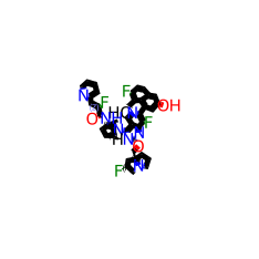 C#Cc1c(F)ccc2cc(O)cc(-c3ncc4c(N5C[C@@]6(NC(=O)/C(F)=C/c7ccccn7)CC[C@@H]5C6)nc(OC[C@@]56CCCN5C[C@H](F)C6)nc4c3F)c12